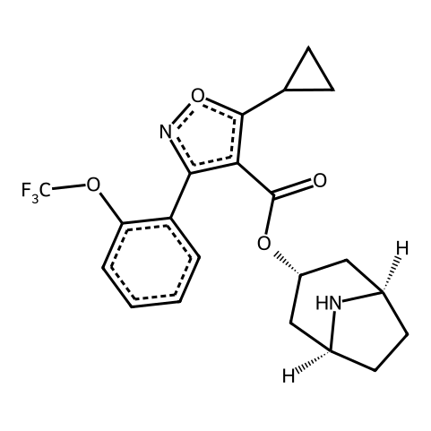 O=C(O[C@@H]1C[C@H]2CC[C@@H](C1)N2)c1c(-c2ccccc2OC(F)(F)F)noc1C1CC1